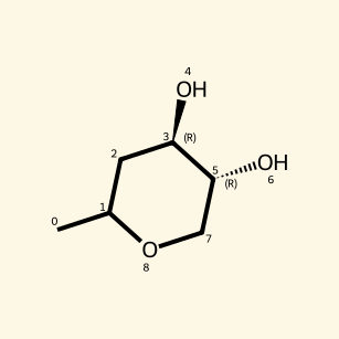 CC1C[C@@H](O)[C@H](O)CO1